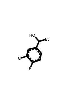 CC[C](O)c1ccc(F)c(Cl)c1